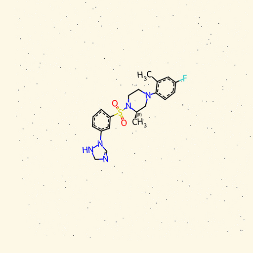 Cc1cc(F)ccc1N1CCN(S(=O)(=O)c2cccc(N3C=NCN3)c2)[C@H](C)C1